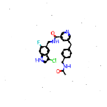 CC(=O)NCc1ccc(Cc2cncc(C(=O)NCc3cc4c(Cl)c[nH]c4cc3F)c2)cc1